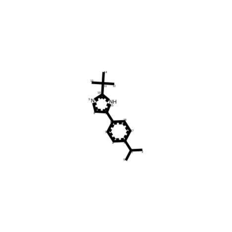 CC(C)c1ccc(-c2cnc(C(C)(C)C)[nH]2)cc1